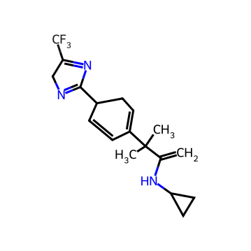 C=C(NC1CC1)C(C)(C)C1=CCC(C2=NCC(C(F)(F)F)=N2)C=C1